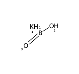 O=BO.[KH]